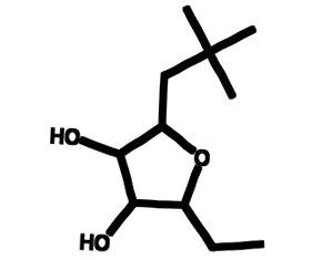 CCC1OC(CC(C)(C)C)C(O)C1O